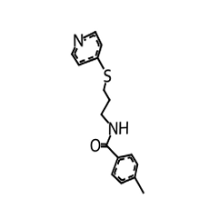 Cc1ccc(C(=O)NCCCSc2ccncc2)cc1